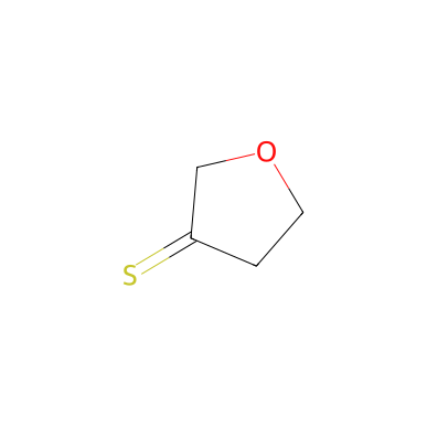 S=C1CCOC1